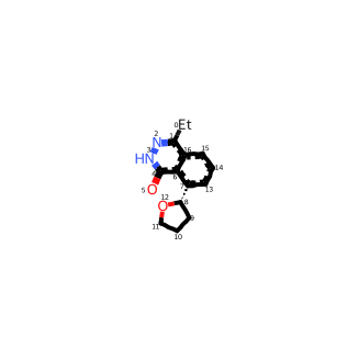 CCc1n[nH]c(=O)c2c([C@@H]3CCCO3)cccc12